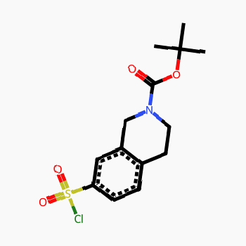 CC(C)(C)OC(=O)N1CCc2ccc(S(=O)(=O)Cl)cc2C1